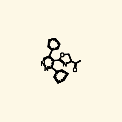 CC(=O)C1COC(c2c(-c3ccccc3)cnnc2-c2ccccc2)=N1